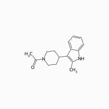 CC(=O)N1CCC(c2c(C)[nH]c3ccccc23)CC1